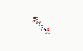 C=C(C)C(=O)NCCCCCCOC(=O)C(C)C